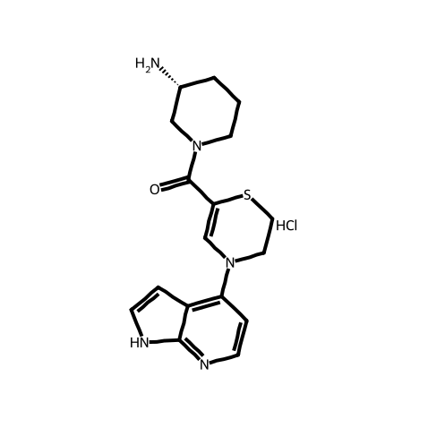 Cl.N[C@@H]1CCCN(C(=O)C2=CN(c3ccnc4[nH]ccc34)CCS2)C1